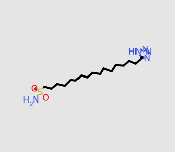 NS(=O)(=O)CCCCCCCCCCCCCCCCc1nnn[nH]1